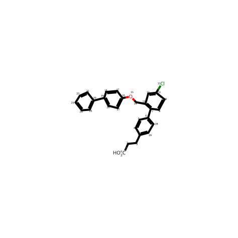 O=C(O)CCc1ccc(-c2ccc(Cl)cc2COc2ccc(-c3[c]cccc3)cc2)cc1